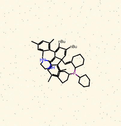 CCCCC1=CC(C=C2CCCCC2P(C2CCCCC2)C2CCCCC2)(c2c(C)cc(C)cc2C)C(=C2NCCN2)C(c2c(C)cc(C)cc2C)=C1CCCC